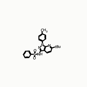 Cc1ccc(-n2nc(NS(=O)(=O)c3ccccc3)c3ccc(C(C)(C)C)nc32)cc1